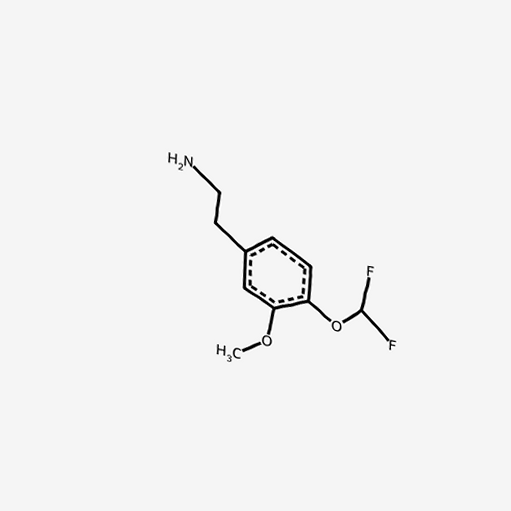 COc1cc(CCN)ccc1OC(F)F